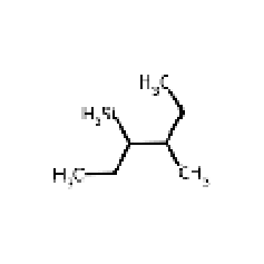 CCC(C)C([SiH3])CC